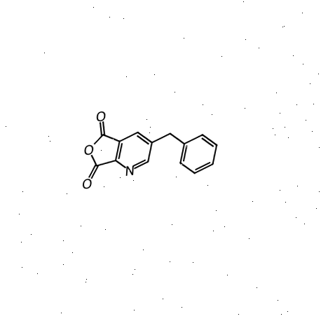 O=C1OC(=O)c2ncc(Cc3ccccc3)cc21